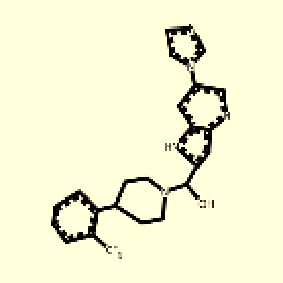 OC(c1cc2ncc(-n3ccnc3)cc2[nH]1)N1CCC(c2ccccc2C(F)(F)F)CC1